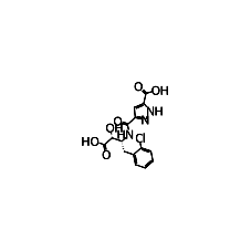 O=C(N[C@H](Cc1ccccc1Cl)[C@@H](O)C(=O)O)c1cc(C(=O)O)[nH]n1